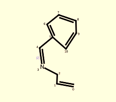 C=CC/N=C\c1ccccc1